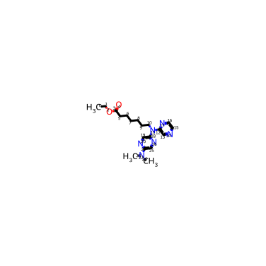 CCOC(=O)CCCCCCN(c1cnccn1)c1cnc(N(C)C)cn1